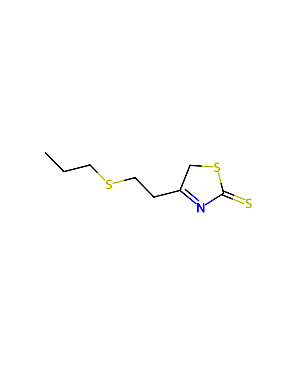 CCCSCCC1=NC(=S)SC1